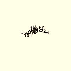 Cl.N#CCOc1ccc(-c2cnc3c(Nc4ccc(C(=O)O)c(Cl)c4)nccn23)c(F)c1F